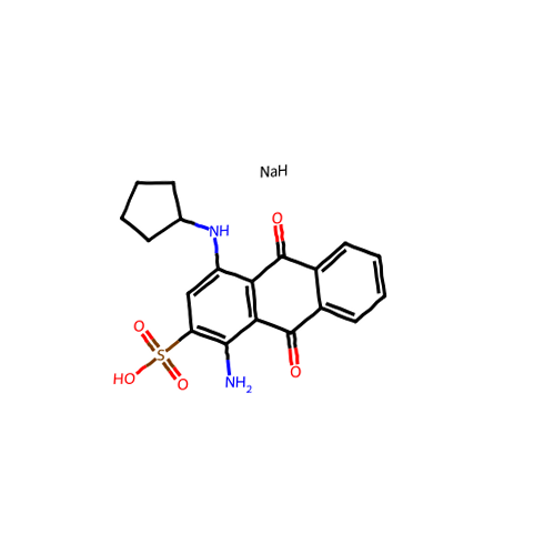 Nc1c(S(=O)(=O)O)cc(NC2CCCC2)c2c1C(=O)c1ccccc1C2=O.[NaH]